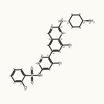 CCc1cc(NS(=O)(=O)c2ccccc2Cl)nnc1-c1cc(CC)c2nc(N[C@H]3CC[C@H](N)CC3)ncc2c1